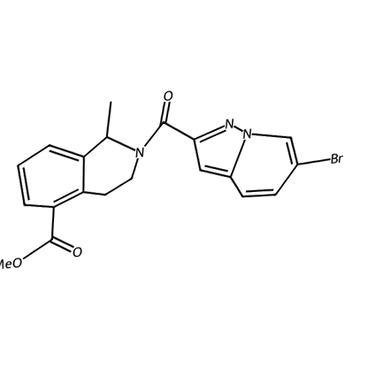 COC(=O)c1cccc2c1CCN(C(=O)c1cc3ccc(Br)cn3n1)C2C